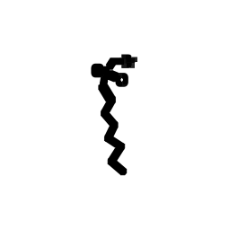 CCCCCCC=CS(=O)(=O)CBr